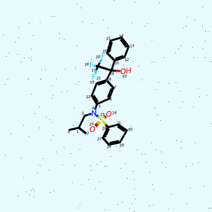 CC(C)CN(c1ccc(C(O)(c2ccccc2)C(F)(F)F)cc1)S(=O)(=O)c1ccccc1